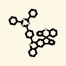 c1ccc(-c2nc(-c3ccccc3)nc(-c3ccc(-c4nc5ccccc5c5cc6c(cc45)C4(c5ccccc5Oc5ccccc54)c4ccccc4-6)cc3)n2)cc1